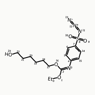 CCOC(=Nc1ccc(S(=O)(=O)N=[N+]=[N-])cc1)OCCCCCCO